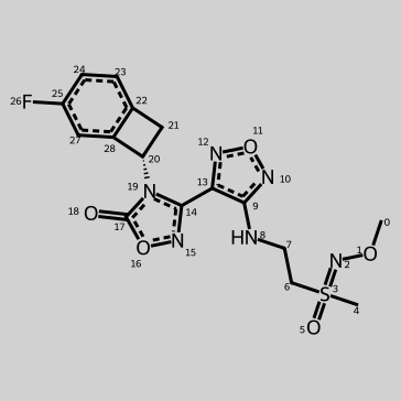 CON=S(C)(=O)CCNc1nonc1-c1noc(=O)n1[C@H]1Cc2ccc(F)cc21